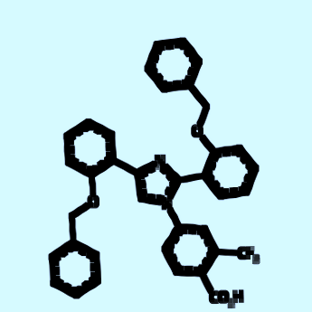 O=C(O)c1ccc(-n2cc(-c3ccccc3OCc3ccccc3)nc2-c2ccccc2OCc2ccccc2)cc1C(F)(F)F